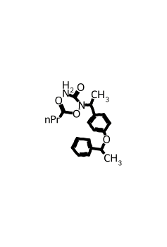 CCCC(=O)ON(C(N)=O)C(C)c1ccc(OC(C)c2ccccc2)cc1